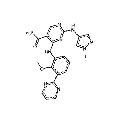 COc1c(Nc2nc(Nc3cnn(C)c3)ncc2C(N)=O)cccc1-c1ncccn1